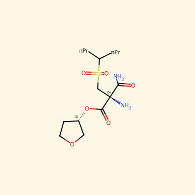 CCCC(CCC)S(=O)(=O)C[C@](N)(C(N)=O)C(=O)O[C@H]1CCOC1